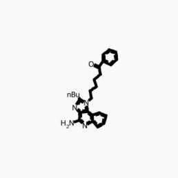 CCCCc1nc2c(N)nc3ccccc3c2n1CCCCCC(=O)c1ccccc1